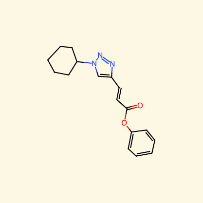 O=C(C=Cc1cn(C2CCCCC2)nn1)Oc1ccccc1